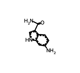 NC(=O)c1c[nH]c2cc(N)ccc12